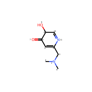 CN(C)CC1=CC(=O)C(O)C=N1